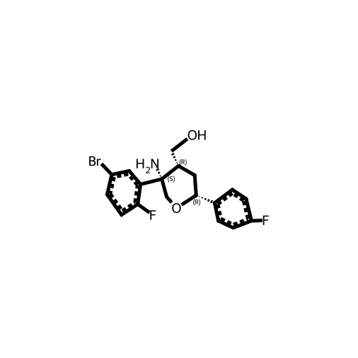 N[C@@]1(c2cc(Br)ccc2F)CO[C@@H](c2ccc(F)cc2)C[C@H]1CO